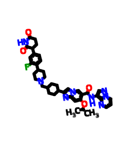 CC(C)Oc1cc2nc(C3CCC(CN4CCC(c5ccc(C6CCC(=O)NC6=O)cc5F)CC4)CC3)cn2cc1C(=O)Nc1cnn2cccnc12